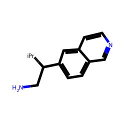 CC(C)C(CN)c1ccc2cnccc2c1